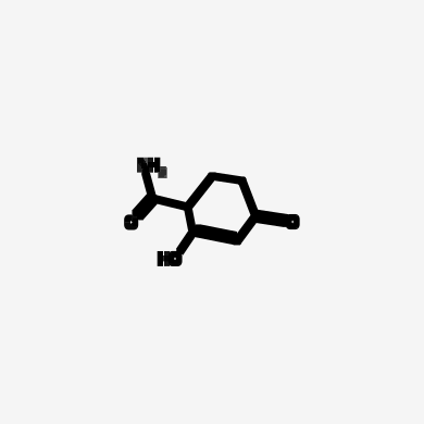 NC(=O)C1CCC(=O)C=C1O